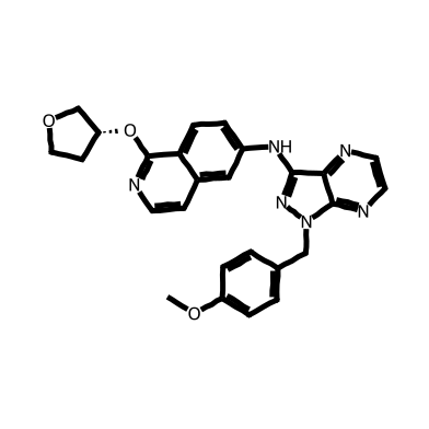 COc1ccc(Cn2nc(Nc3ccc4c(O[C@@H]5CCOC5)nccc4c3)c3nccnc32)cc1